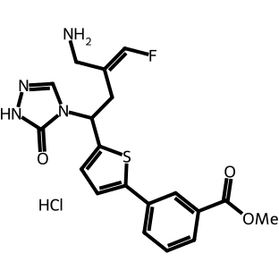 COC(=O)c1cccc(-c2ccc(C(C/C(=C\F)CN)n3cn[nH]c3=O)s2)c1.Cl